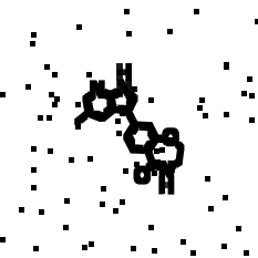 Cc1cnc2[nH]cc(-c3ccc4c(c3)OCCNC4=O)c2c1